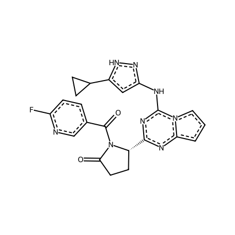 O=C1CC[C@@H](c2nc(Nc3cc(C4CC4)[nH]n3)n3cccc3n2)N1C(=O)c1ccc(F)nc1